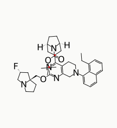 CCc1cccc2cccc(N3CCc4c(nc(OC[C@@]56CCCN5C[C@H](F)C6)nc4C4C[C@H]5CC[C@@H](C4)N5C(=O)OC(C)(C)C)C3)c12